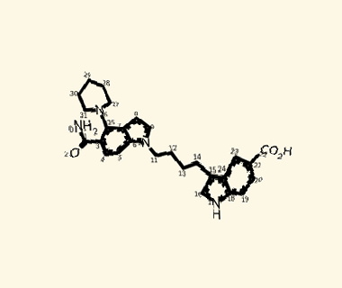 NC(=O)c1ccc2c(ccn2CCCCc2c[nH]c3ccc(C(=O)O)cc23)c1N1CCCCC1